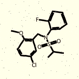 COc1ccc(Cl)cc1CN(c1ccccc1F)S(=O)(=O)C(C)C